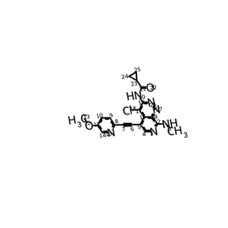 CNc1ncc(C#Cc2ccc(OC)cn2)c2c(Cl)c(NC(=O)C3CC3)nnc12